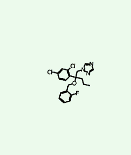 CCCC(Cn1cncn1)(OCc1ccccc1F)c1ccc(Cl)cc1Cl